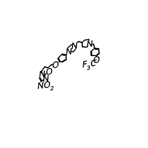 O=[N+]([O-])c1cn2c(n1)OC(COc1ccc(N3CCN(CC4CCN(Cc5ccc(OC(F)(F)F)cc5)CC4)CC3)cc1)CC2